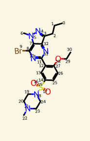 CCCc1nn(C)c2c(Br)nc(-c3cc(S(=O)(=O)N4CCN(C)CC4)ccc3OCC)nc12